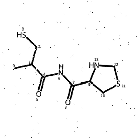 CC(CS)C(=O)NC(=O)C1CSCN1